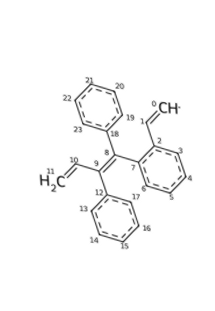 [CH]=Cc1ccccc1/C(=C(/C=C)c1ccccc1)c1ccccc1